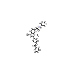 CCC(CC(C)c1ccc(OC(=O)c2ccccc2)cc1)c1ccc(OC(=O)/C=C/c2ccccc2)cc1